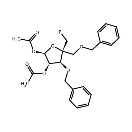 CC(=O)O[C@H]1O[C@](CF)(COCc2ccccc2)[C@@H](OCc2ccccc2)[C@H]1OC(C)=O